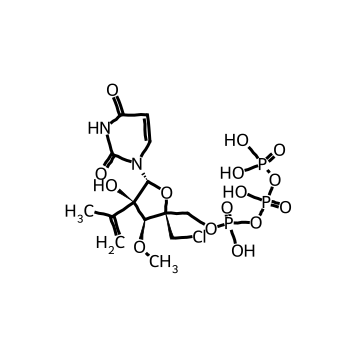 C=C(C)[C@@]1(O)[C@H](OC)[C@@](CCl)(COP(=O)(O)OP(=O)(O)OP(=O)(O)O)O[C@H]1n1ccc(=O)[nH]c1=O